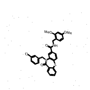 COc1ccc(CNC(=O)c2ccc3c(c2)N(Cc2cccc(Cl)c2)C(=O)c2ccccc2S3)c(OC)c1